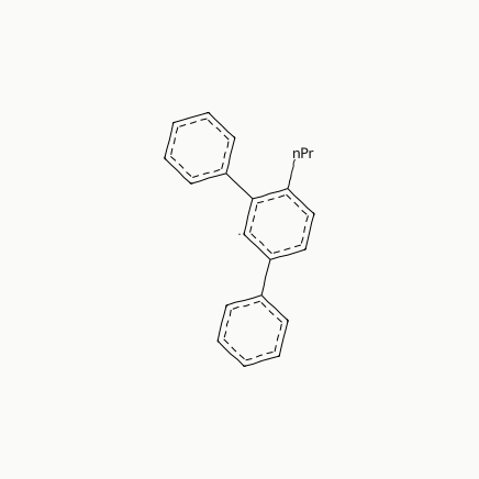 CCCc1ccc(-c2ccccc2)[c]c1-c1ccccc1